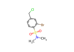 CN(C)S(=O)(=O)c1ccc(CCl)cc1Br